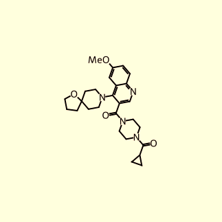 COc1ccc2ncc(C(=O)N3CCN(C(=O)C4CC4)CC3)c(N3CCC4(CCCO4)CC3)c2c1